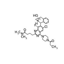 CCC(=O)N1CCN(c2nc(CCCC(=O)N(C)C)nc3c(F)c(C4c5ccccc5C[C@]5(O)C[C@H]45)c(Cl)cc23)CC1